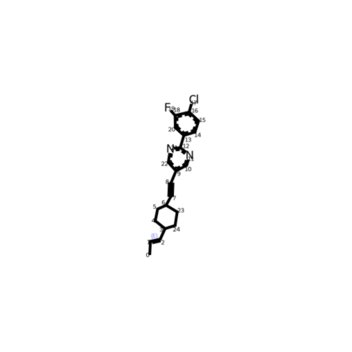 C/C=C/C1CCC(C#Cc2cnc(-c3ccc(Cl)c(F)c3)nc2)CC1